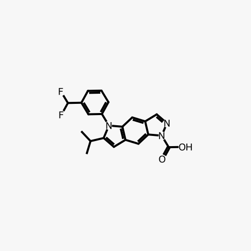 CC(C)c1cc2cc3c(cnn3C(=O)O)cc2n1-c1cccc(C(F)F)c1